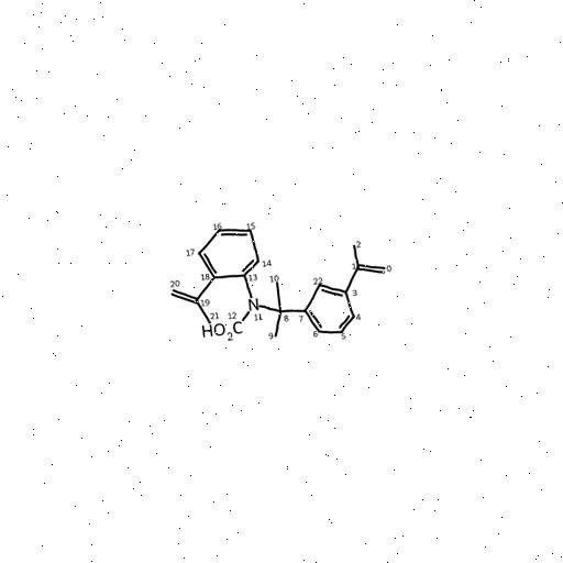 C=C(C)c1cccc(C(C)(C)N(C(=O)O)c2ccccc2C(=C)C)c1